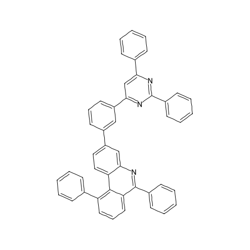 c1ccc(-c2cc(-c3cccc(-c4ccc5c(c4)nc(-c4ccccc4)c4cccc(-c6ccccc6)c45)c3)nc(-c3ccccc3)n2)cc1